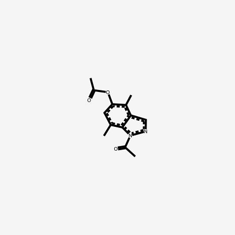 CC(=O)Oc1cc(C)c2c(cnn2C(C)=O)c1C